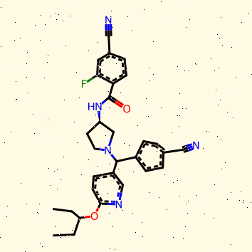 CCC(CC)Oc1ccc(C(c2ccc(C#N)cc2)N2CC[C@@H](NC(=O)c3ccc(C#N)cc3F)C2)cn1